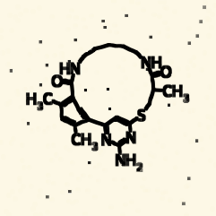 Cc1cc(C)c2cc1C(=O)NCCCCCNC(=O)C(C)CSc1cc-2nc(N)n1